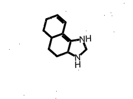 C1=CC2=C3NCNC3CCC2CC1